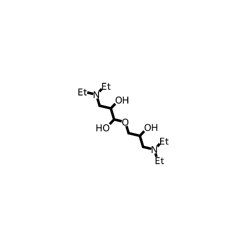 CCN(CC)CC(O)COC(O)C(O)CN(CC)CC